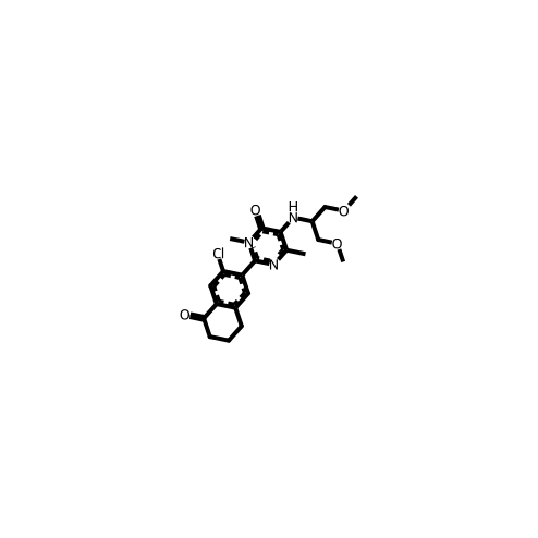 COCC(COC)Nc1c(C)nc(-c2cc3c(cc2Cl)C(=O)CCC3)n(C)c1=O